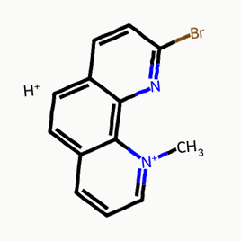 C[n+]1cccc2ccc3ccc(Br)nc3c21.[H+]